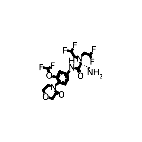 NC[C@H](C(=O)Nc1ccc(N2CCOCC2=O)c(OC(F)F)c1)N(CC(F)F)CC(F)F